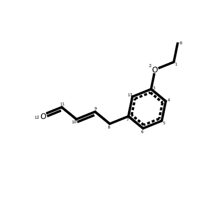 CCOc1cccc(CC=C[C]=O)c1